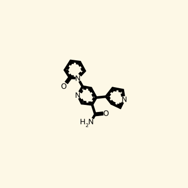 NC(=O)c1cnc(-n2ccccc2=O)cc1-c1ccncc1